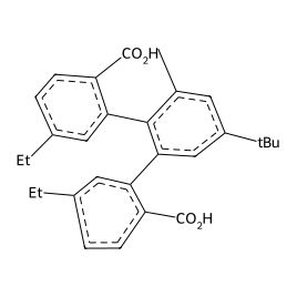 CCc1ccc(C(=O)O)c(-c2cc(C(C)(C)C)cc(C)c2-c2cc(CC)ccc2C(=O)O)c1